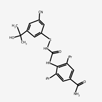 CC(C)c1cc(C(N)=O)cc(C(C)C)c1NC(=O)NSc1cc(C#N)cc(C(C)(C)O)c1